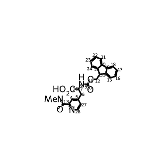 CNC(=O)c1cc(CC(NC(=O)OCC2c3ccccc3-c3ccccc32)C(=O)O)ccn1